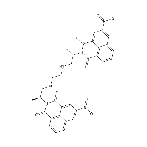 C[C@@H](CNCCNC[C@H](C)N1C(=O)c2cccc3cc([N+](=O)[O-])cc(c23)C1=O)N1C(=O)c2cccc3cc([N+](=O)[O-])cc(c23)C1=O